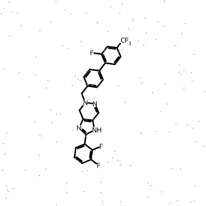 Fc1cc(C(F)(F)F)ccc1-c1ccc(CN2Cc3nc(-c4cccc(F)c4F)[nH]c3C=N2)cc1